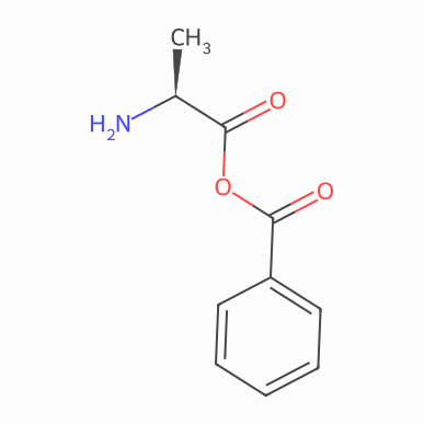 C[C@H](N)C(=O)OC(=O)c1ccccc1